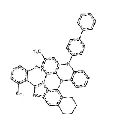 Cc1cc2c3c(c1)-n1c(-c4c(C)cccc4C)nc4cc5c(c(c41)B3c1ccccc1N2c1ccc(-c2ccccc2)cc1)CCCC5